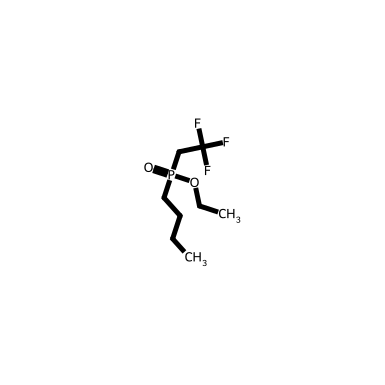 CCCCP(=O)(CC(F)(F)F)OCC